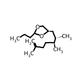 C=C(C)CC[C@H](C)[C@@H](C)C[C@@H]1COC(CCC)O1